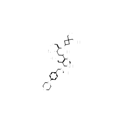 C=CC1=C(C(C)C[C@@H](C#N)/C(=C\CC)OC2CC(CO)(CO)C2)N=CN[C@@H]1N(C)Cc1ccc(N2CCOCC2)cc1